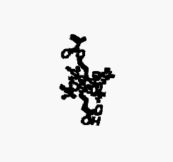 C=C(C)C(=O)OCCC[Si](O[Si](C)(C)C)(O[Si](C)(C)C)O[Si](CCCC(=O)O)(O[Si](C)(C)C)O[Si](C)(C)C